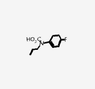 C=CCN(C(=O)O)c1ccc(F)cc1